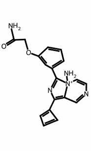 NC(=O)COc1cccc(C2=NC(C3=CC=C3)=C3C=NC=C[N+]23N)c1